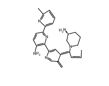 C=c1cnc(-c2nc(-c3cccc(C)n3)ccc2N)c/c1=C(/C=C\C)N1CCC[C@H](N)C1